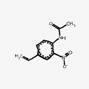 C=Cc1ccc(NC(C)=O)c([N+](=O)[O-])c1